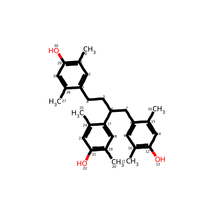 Cc1cc(CCC(Cc2cc(C)c(O)cc2C)c2cc(C)c(O)cc2C)c(C)cc1O